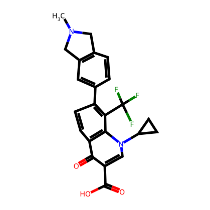 CN1Cc2ccc(-c3ccc4c(=O)c(C(=O)O)cn(C5CC5)c4c3C(F)(F)F)cc2C1